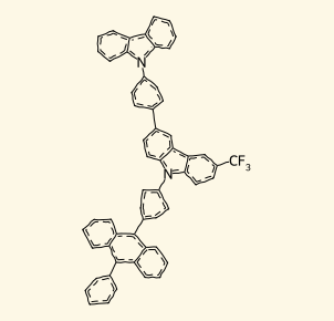 FC(F)(F)c1ccc2c(c1)c1cc(-c3ccc(-n4c5ccccc5c5ccccc54)cc3)ccc1n2-c1ccc(-c2c3ccccc3c(-c3ccccc3)c3ccccc23)cc1